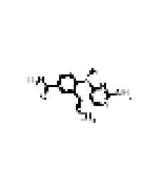 C/C=C/c1cc(C(N)=O)ccc1N(c1ccnc(N)n1)C(C)C